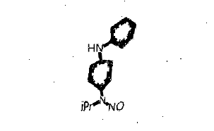 CC(C)N(N=O)c1ccc(Nc2ccccc2)cc1